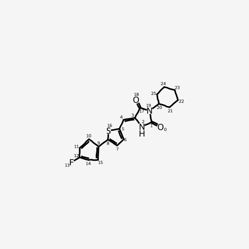 O=C1N/C(=C\c2ccc(-c3ccc(F)cc3)s2)C(=O)N1C1CCCCC1